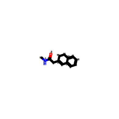 CNC(=O)CC1=Cc2ccccc2CC1